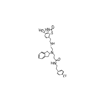 O=C(CCN(CCNCCc1ccc(O)c2[nH]c(=O)sc12)C1Cc2ccccc2C1)NCCc1ccc(Cl)cc1